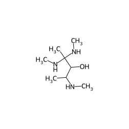 CNC(C)C(O)C(C)(NC)NC